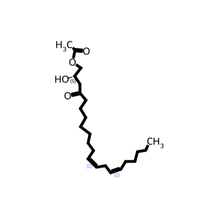 CCCCC/C=C\C/C=C\CCCCCCCC(=O)C[C@H](O)COC(C)=O